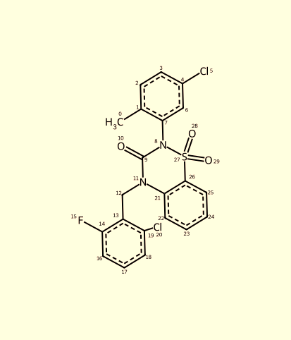 Cc1ccc(Cl)cc1N1C(=O)N(Cc2c(F)cccc2Cl)c2ccccc2S1(=O)=O